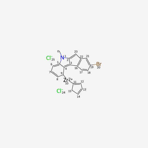 Cn1c2c(c3c1=CC=C[CH]3[Zr+2][C]1=CC=CC1)-c1ccc(Br)cc1C=2.[Cl-].[Cl-]